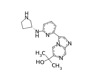 CC(C)(O)c1cn2c(-c3cccc(N[C@@H]4CCNC4)n3)cnc2cn1